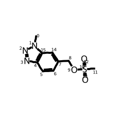 Cn1nnc2ccc(COS(C)(=O)=O)cc21